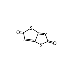 O=C1[C]=C2SC(=O)[C]=C2S1